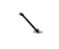 O=C=NCCCCCCCCCCCCCCCCCCCCCCCC(=O)NO